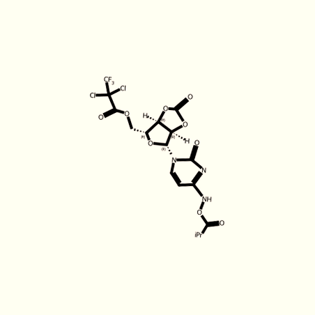 CC(C)C(=O)ONc1ccn([C@@H]2O[C@H](COC(=O)C(Cl)(Cl)C(F)(F)F)[C@H]3OC(=O)O[C@H]32)c(=O)n1